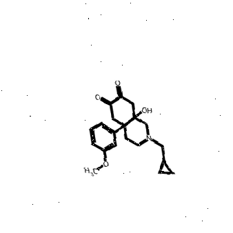 COc1cccc(C23CCN(CC4CC4)CC2(O)CC(=O)C(=O)C3)c1